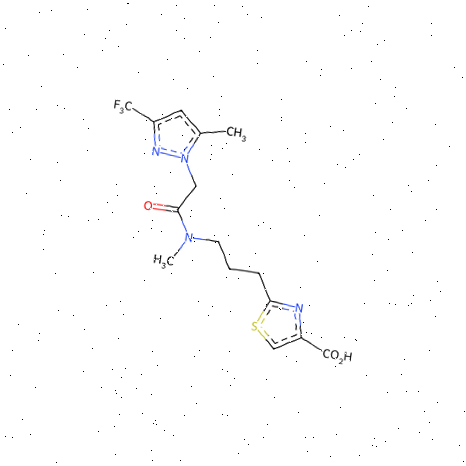 Cc1cc(C(F)(F)F)nn1CC(=O)N(C)CCCc1nc(C(=O)O)cs1